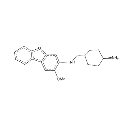 COc1cc2c(cc1NC[C@H]1CC[C@H](N)CC1)oc1ccccc12